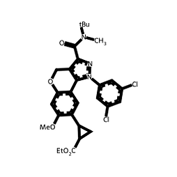 CCOC(=O)C1CC1c1cc2c(cc1OC)OCc1c(C(=O)N(C)C(C)(C)C)nn(-c3cc(Cl)cc(Cl)c3)c1-2